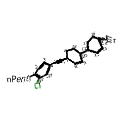 CCCCCc1ccc(C#CC2CCC(C3CCC(CC)CC3)CC2)cc1Cl